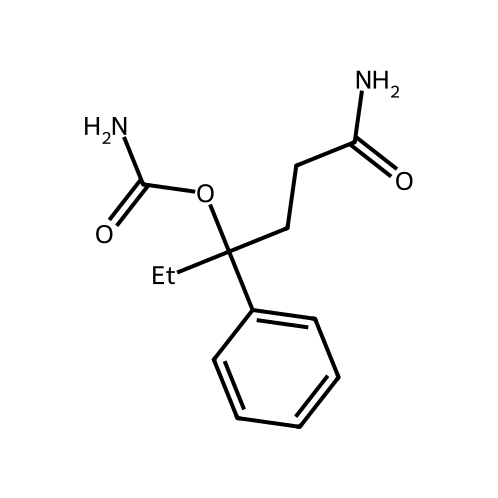 CCC(CCC(N)=O)(OC(N)=O)c1ccccc1